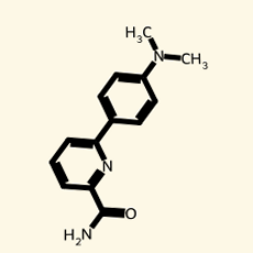 CN(C)c1ccc(-c2cccc(C(N)=O)n2)cc1